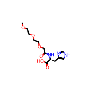 COCCOCCOCC(=O)N[C@@H](Cc1c[nH]cn1)C(=O)O